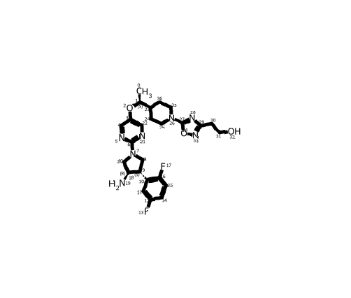 C[C@H](Oc1cnc(N2C[C@H](c3cc(F)ccc3F)[C@@H](N)C2)nc1)C1CCN(c2nc(CCO)no2)CC1